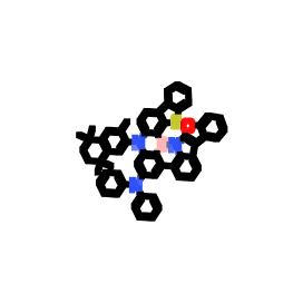 Cc1cc2c(cc1N1c3cc(N(c4ccccc4)c4ccccc4)cc4c3B(c3c1ccc1c3sc3ccccc31)n1c3oc5ccccc5c3c3cccc-4c31)C(C)(C)CCC2(C)C